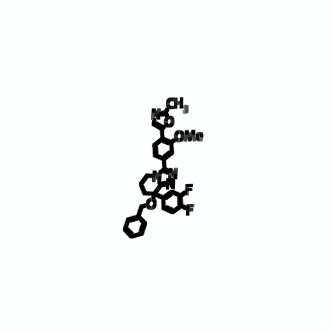 COc1cc(-c2nnc3n2CCCC3(OCc2ccccc2)c2ccc(F)c(F)c2)ccc1-c1cnc(C)o1